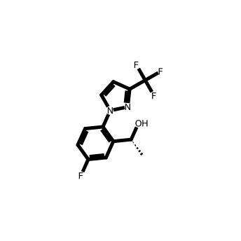 C[C@@H](O)c1cc(F)ccc1-n1ccc(C(F)(F)F)n1